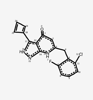 O=c1cc(Cc2c(F)cccc2Cl)[nH]c2n[nH]c(C3=CC=C3)c12